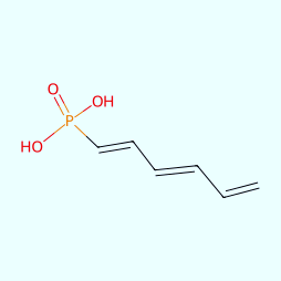 C=CC=CC=CP(=O)(O)O